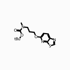 CN(CCCOc1ccc2n[c]sc2n1)C(=O)OC(C)(C)C